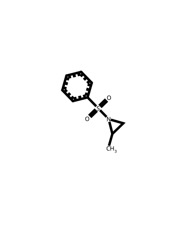 CC1CN1S(=O)(=O)c1ccccc1